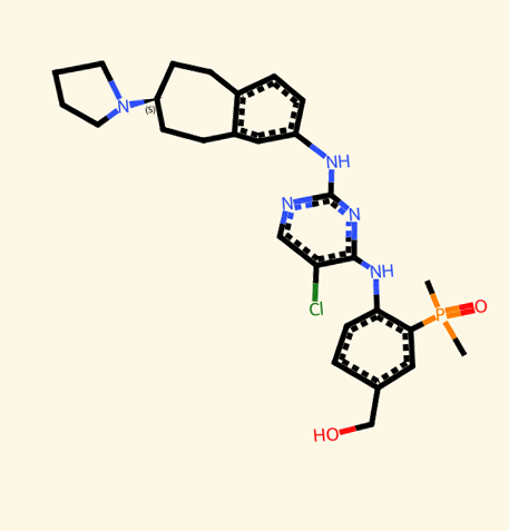 CP(C)(=O)c1cc(CO)ccc1Nc1nc(Nc2ccc3c(c2)CC[C@@H](N2CCCC2)CC3)ncc1Cl